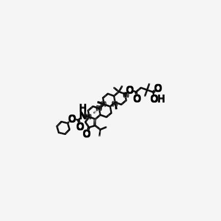 CC(C)C1=C2C3CCC4[C@@]5(C)CC[C@H](OC(=O)CC(C)(C)C(=O)O)C(C)(C)C5CC[C@@]4(C)[C@]3(C)CC[C@@]2(NC(=O)OC2CCCCC2)CC1=O